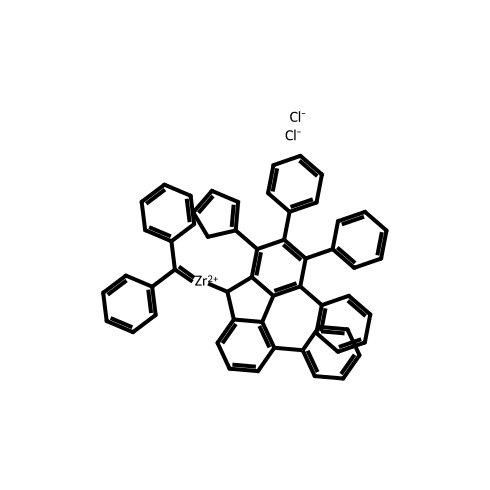 C1=CCC(c2c(-c3ccccc3)c(-c3ccccc3)c(-c3ccccc3)c3c2[CH]([Zr+2]=[C](c2ccccc2)c2ccccc2)c2cccc(-c4ccccc4)c2-3)=C1.[Cl-].[Cl-]